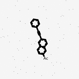 CC(=O)c1ccc2cc(C#Cc3ccccc3)ccc2c1